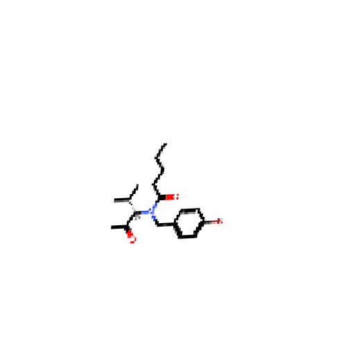 CCCCC(=O)N(Cc1ccc(Br)cc1)[C@H](C(C)=O)C(C)C